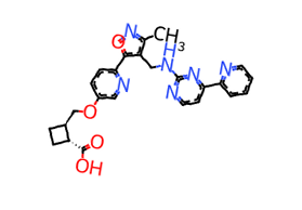 Cc1noc(-c2ccc(OC[C@@H]3CC[C@H]3C(=O)O)cn2)c1CNc1nccc(-c2ccccn2)n1